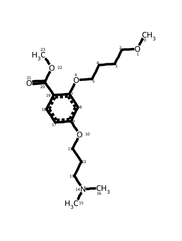 COCCCCOc1cc(OCCCN(C)C)ccc1C(=O)OC